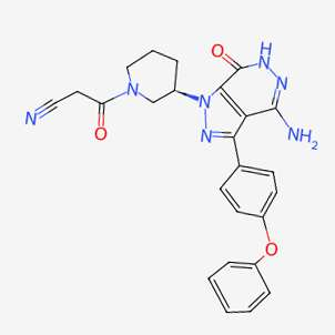 N#CCC(=O)N1CCC[C@@H](n2nc(-c3ccc(Oc4ccccc4)cc3)c3c(N)n[nH]c(=O)c32)C1